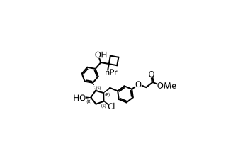 CCCC1(C(O)c2cccc([C@@H]3[C@@H](Cc4cccc(OCC(=O)OC)c4)[C@@H](Cl)C[C@H]3O)c2)CCC1